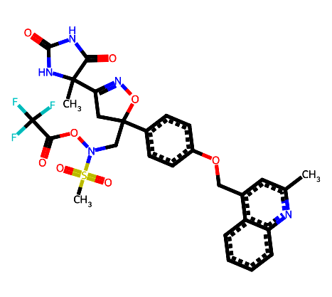 Cc1cc(COc2ccc(C3(CN(OC(=O)C(F)(F)F)S(C)(=O)=O)CC(C4(C)NC(=O)NC4=O)=NO3)cc2)c2ccccc2n1